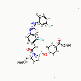 COC[C@@H]1CC[C@@H](CO[C@H]2CC[C@H](C(=O)OC)CC2)N1C(=O)Cc1ccc2nc(Nc3cc(F)ccc3C)oc2c1F